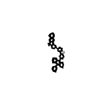 CC1(C)c2ccc(-c3ccc4oc5ccc(-c6c7ccccc7c(-c7ccccc7)c7ccccc67)cc5c4c3)cc2-c2cc3ccccc3cc21